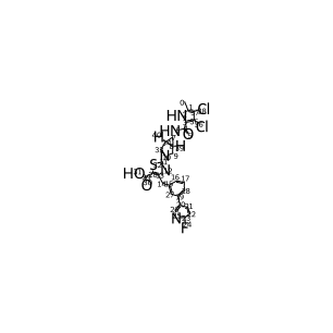 Cc1[nH]c(C(=O)N[C@@H]2[C@@H]3CN(c4nc(Cc5cccc(-c6ccc(F)nc6)c5)c(C(=O)O)s4)C[C@@H]32)c(Cl)c1Cl